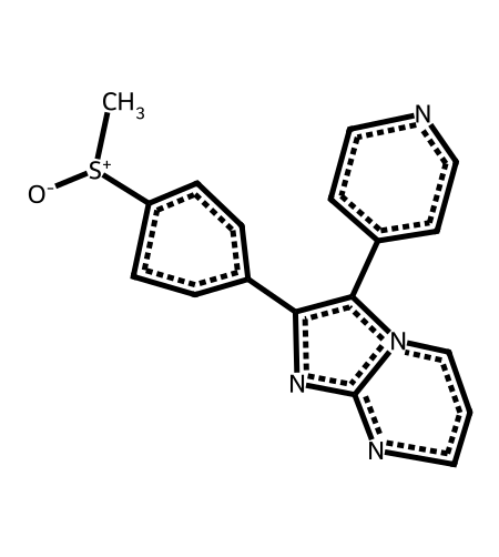 C[S+]([O-])c1ccc(-c2nc3ncccn3c2-c2ccncc2)cc1